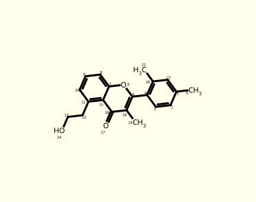 Cc1ccc(-c2oc3cccc(CCO)c3c(=O)c2C)c(C)c1